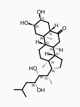 CC(C)C[C@@H](O)[C@H](O)[C@@H](C)[C@H]1CC[C@H]2[C@@H]3CC(=O)[C@H]4C[C@H](O)[C@H](O)C[C@]4(C)[C@H]3CC[C@]12C